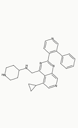 c1ccc(-c2cnccc2-c2nc(CNC3CCNCC3)c3c(C4CC4)cncc3n2)cc1